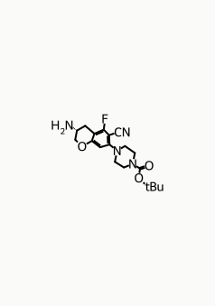 CC(C)(C)OC(=O)N1CCN(c2cc3c(c(F)c2C#N)C[C@@H](N)CO3)CC1